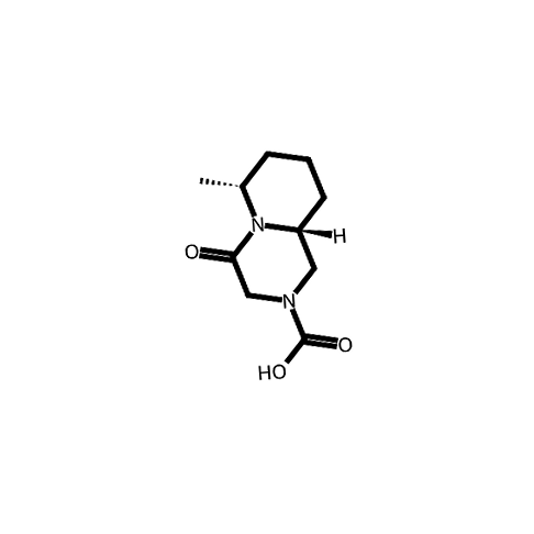 C[C@@H]1CCC[C@@H]2CN(C(=O)O)CC(=O)N21